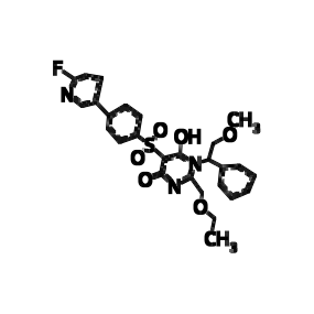 CCOCc1nc(=O)c(S(=O)(=O)c2ccc(-c3ccc(F)nc3)cc2)c(O)n1C(COC)c1ccccc1